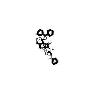 O=C(COc1ccccc1)NC1C(=O)N2C(C(=O)OC(c3ccccc3)c3ccccc3)C(CBr)=CS[C@H]12